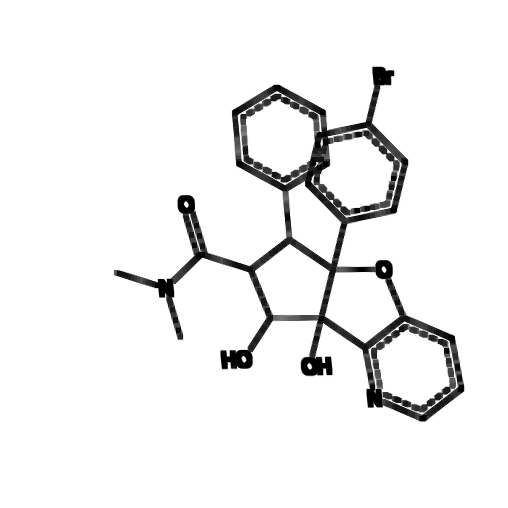 CN(C)C(=O)C1C(O)C2(O)c3ncccc3OC2(c2ccc(Br)cc2)C1c1ccccc1